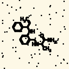 C=CC(Nc1ccccc1CNC(C)C(N)=O)c1ccccc1